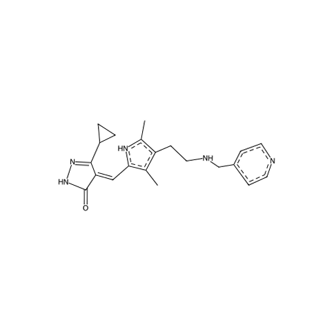 Cc1[nH]c(C=C2C(=O)NN=C2C2CC2)c(C)c1CCNCc1ccncc1